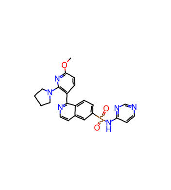 COc1ccc(-c2nccc3cc(S(=O)(=O)Nc4ccncn4)ccc23)c(N2CCCC2)n1